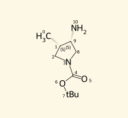 C[C@H]1CN(C(=O)OC(C)(C)C)C[C@H]1N